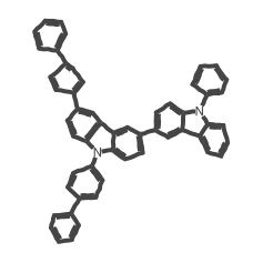 c1ccc(-c2ccc(-c3ccc4c(c3)c3cc(-c5ccc6c(c5)c5ccccc5n6-c5ccccc5)ccc3n4-c3ccc(-c4ccccc4)cc3)cc2)cc1